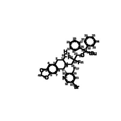 C[C@@H]1Cc2cc3c(cc2[C@@H](c2ncc(Br)cc2F)N1CC(F)(F)CO[Si](c1ccccc1)(c1ccccc1)C(C)(C)C)OCO3